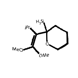 COC(OC)=C(C(C)C)C1([SiH3])CCCCO1